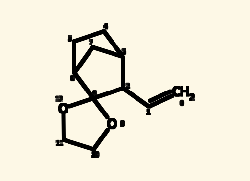 C=CC1C2CCC(C2)C12OCCO2